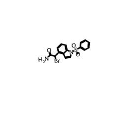 NC(=O)C(Br)c1cccc2c1ccn2S(=O)(=O)c1ccccc1